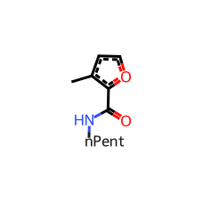 CCCCCNC(=O)c1occc1C